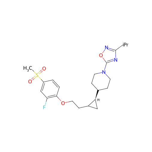 CC(C)c1noc(N2CCC([C@H]3CC3CCOc3ccc(S(C)(=O)=O)cc3F)CC2)n1